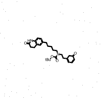 CC(C)(C)OC(=O)N(CCCCCc1ccc2c(c1)CCC(=O)N2)CCC1=CC=CC(=O)C1